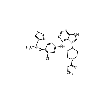 C=CC(=O)N1CCC(c2c[nH]c3ncnc(Nc4ccc(O[C@H](C)c5cscn5)c(Cl)c4)c23)CC1